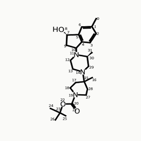 Cc1ccc2c(c1)[C@@H](O)CC2N1CCN(C2(C)CCN(C(=O)OC(C)(C)C)CC2)C[C@@H]1C